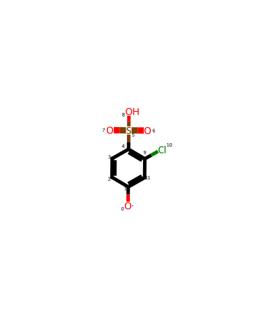 [O]c1ccc(S(=O)(=O)O)c(Cl)c1